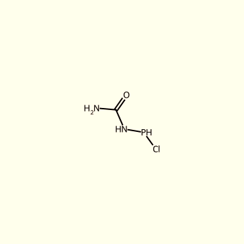 NC(=O)NPCl